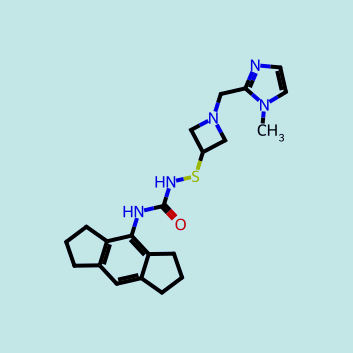 Cn1ccnc1CN1CC(SNC(=O)Nc2c3c(cc4c2CCC4)CCC3)C1